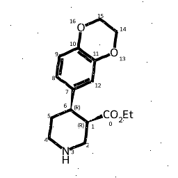 CCOC(=O)[C@H]1CNCC[C@H]1c1ccc2c(c1)OCCO2